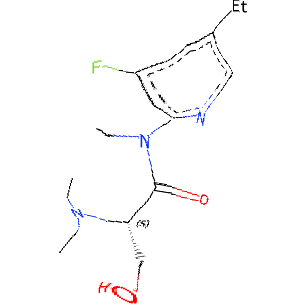 CCc1cnc(N(C)C(=O)[C@H](CO)N(C)C)c(F)c1